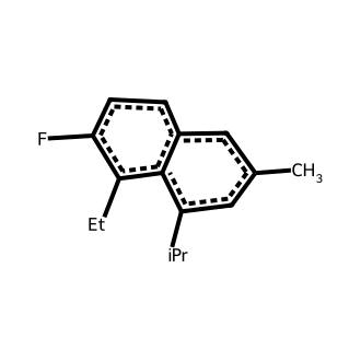 CCc1c(F)ccc2cc(C)cc(C(C)C)c12